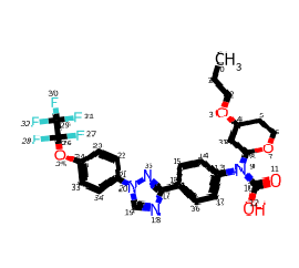 CCCOC1CCOC(N(C(=O)O)c2ccc(-c3ncn(-c4ccc(OC(F)(F)C(F)(F)F)cc4)n3)cc2)C1